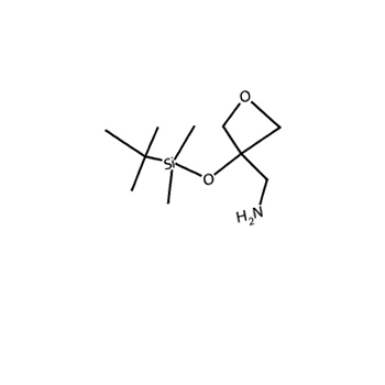 CC(C)(C)[Si](C)(C)OC1(CN)COC1